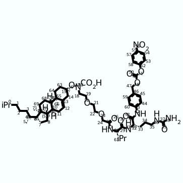 CC(C)CCC[C@@H](C)[C@H]1CC[C@H]2[C@@H]3CC=C4C[C@@H](ON(CCOCCOCC(=O)N[C@H](C(=O)N[C@@H](CCCNC(N)=O)C(=O)Nc5ccc(COC(=O)Oc6ccc([N+](=O)[O-])cc6)cc5)C(C)C)C(=O)O)CC[C@]4(C)[C@H]3CC[C@]12C